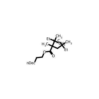 CCCCCCCCCCCCOC(=O)C(C)(CC(C)(C)CC)C(C)(C)CC